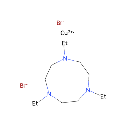 CCN1CCN(CC)CCN(CC)CC1.[Br-].[Br-].[Cu+2]